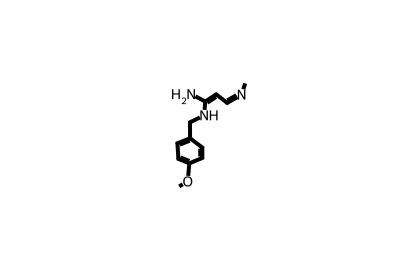 C/N=C\C=C(\N)NCc1ccc(OC)cc1